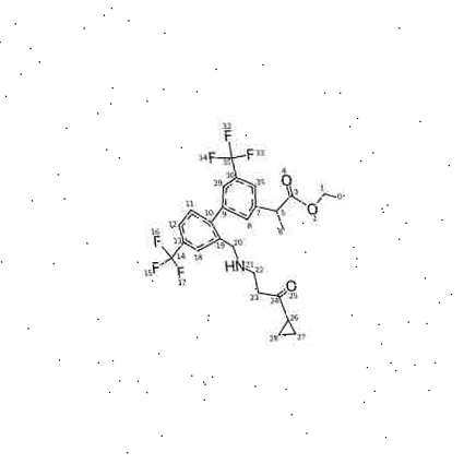 CCOC(=O)C(C)c1cc(-c2ccc(C(F)(F)F)cc2CNCCC(=O)C2CC2)cc(C(F)(F)F)c1